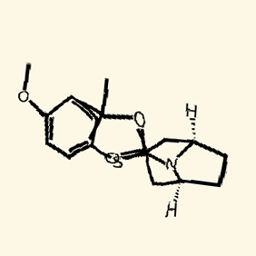 COc1ccc(SC2(C)C[C@H]3CC[C@@H](C2)N3C(=O)OC(C)(C)C)cc1